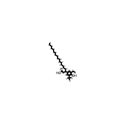 CCCCCCCCCCCCCCCCCC(CC(=O)O)c1cc(CC)c(O)c(C(C)(C)C)c1